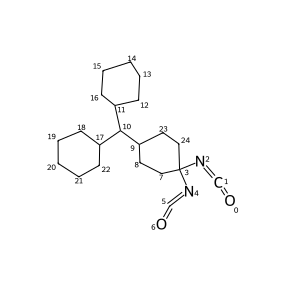 O=C=NC1(N=C=O)CCC(C(C2CCCCC2)C2CCCCC2)CC1